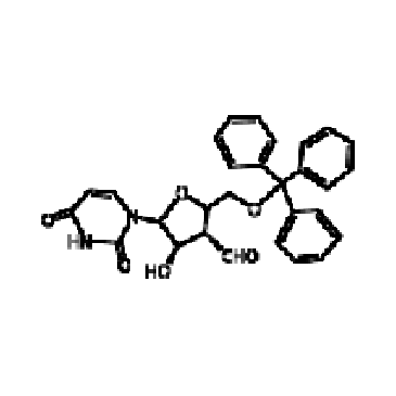 O=C[C@@H]1C(COC(c2ccccc2)(c2ccccc2)c2ccccc2)OC(n2ccc(=O)[nH]c2=O)[C@@H]1O